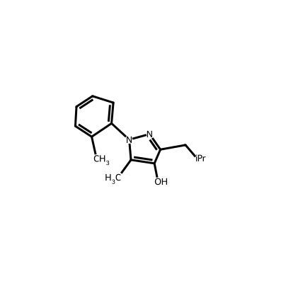 Cc1ccccc1-n1nc(CC(C)C)c(O)c1C